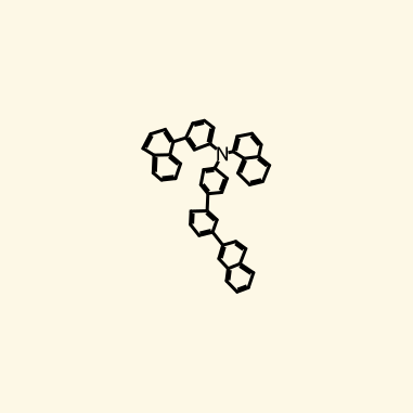 c1cc(-c2ccc(N(c3cccc(-c4cccc5ccccc45)c3)c3cccc4ccccc34)cc2)cc(-c2ccc3ccccc3c2)c1